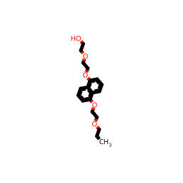 CCCOCCOc1cccc2c(OCCOCCO)cccc12